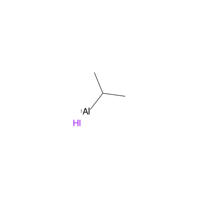 C[CH](C)[Al].I